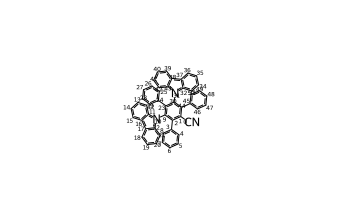 N#Cc1c(-c2ccccc2)c(-n2c3ccccc3c3ccccc32)c(-c2ccccc2)c(-n2c3ccccc3c3ccccc32)c1-c1ccccc1